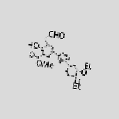 CCOc1ccc(-c2nc(-c3cc(CC=O)c(O)c(C(=O)OC)c3)cs2)cc1OCC